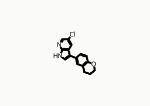 Clc1cnc2[nH]cc(-c3ccc4c(c3)CCCO4)c2c1